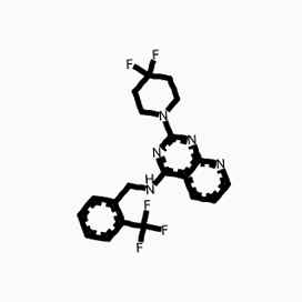 FC1(F)CCN(c2nc(NCc3ccccc3C(F)(F)F)c3cccnc3n2)CC1